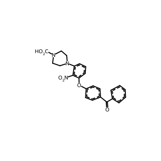 O=C(c1ccccc1)c1ccc(Oc2cccc(N3CCN(C(=O)O)CC3)c2[N+](=O)[O-])cc1